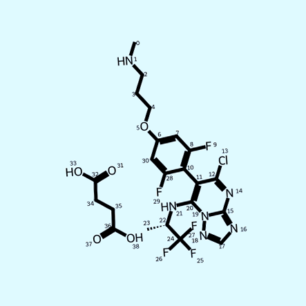 CNCCCOc1cc(F)c(-c2c(Cl)nc3ncnn3c2N[C@@H](C)C(F)(F)F)c(F)c1.O=C(O)CCC(=O)O